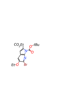 CCOC(=O)c1cc2cc(OCC)c(Br)nc2n1C(=O)OC(C)(C)C